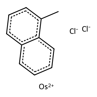 Cc1cccc2ccccc12.[Cl-].[Cl-].[Os+2]